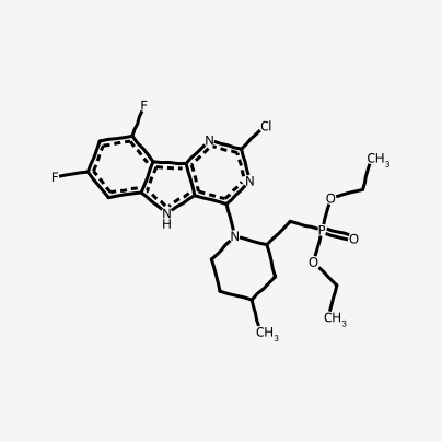 CCOP(=O)(CC1CC(C)CCN1c1nc(Cl)nc2c1[nH]c1cc(F)cc(F)c12)OCC